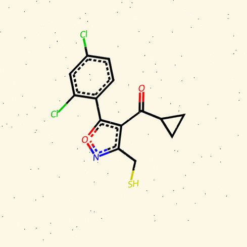 O=C(c1c(CS)noc1-c1ccc(Cl)cc1Cl)C1CC1